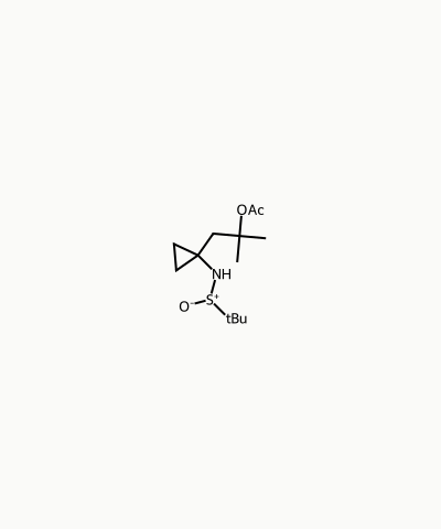 CC(=O)OC(C)(C)CC1(N[S+]([O-])C(C)(C)C)CC1